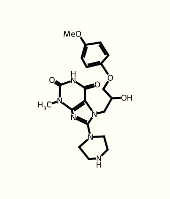 COc1ccc(OCC(O)Cn2c(N3CCNCC3)nc3c2c(=O)[nH]c(=O)n3C)cc1